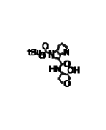 CC(C)(C)OC(=O)n1cc(C(=O)NC2CCOC[C@@H]2O)c2ncccc21